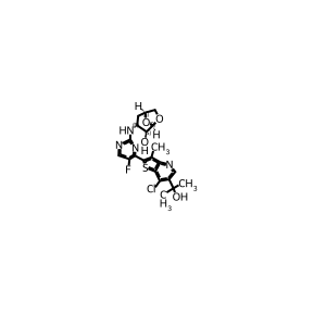 Cc1c(-c2nc(N[C@@H]3C[C@H]4CO[C@H](O4)[C@H]3O)ncc2F)sc2c(Cl)c(C(C)(C)O)cnc12